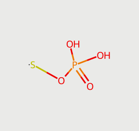 O=P(O)(O)O[S]